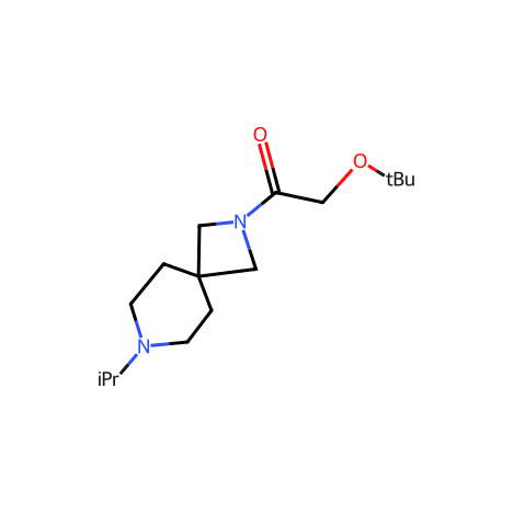 CC(C)N1CCC2(CC1)CN(C(=O)COC(C)(C)C)C2